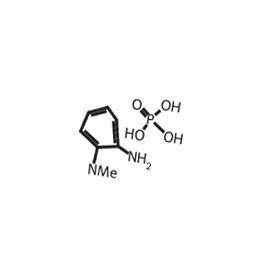 CNc1ccccc1N.O=P(O)(O)O